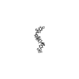 O=C(O)Oc1ccc2c(c1)nnn2C1CCN(S(=O)(=O)c2ccc(CNC(=O)c3ccc(Cl)cc3)s2)CC1